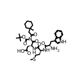 CSCC[C@H](NC(=O)[C@@H](N)Cc1c[nH]c2ccccc12)C(=O)N[C@@H](CC(=O)O)C(=O)N(C(=O)CC1(C)CCCCC1)C(=O)OC(C)(C)C